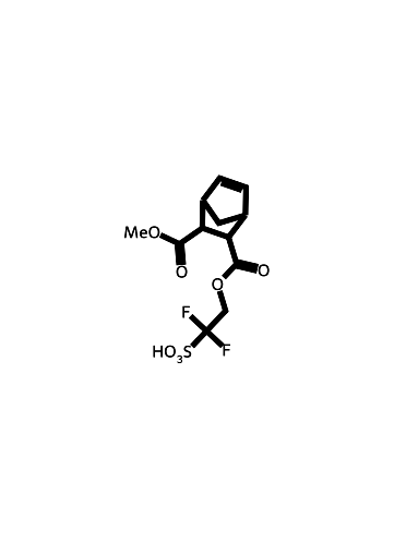 COC(=O)C1C2C=CC(C2)C1C(=O)OCC(F)(F)S(=O)(=O)O